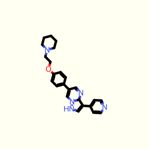 C1=NC2C(c3ccncc3)=CNN2C=C1c1ccc(OCCN2CCCCC2)cc1